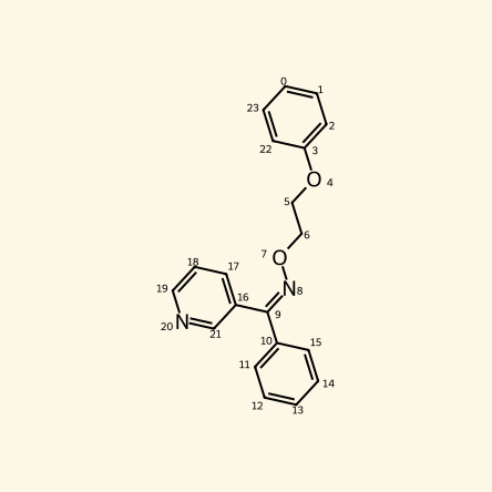 c1ccc(OCCON=C(c2ccccc2)c2cccnc2)cc1